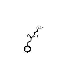 CC(=O)OCCNC(=O)CCc1ccccc1